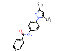 O=C(Nc1ccc(-n2nc(C(F)(F)F)cc2C(F)(F)F)cc1)c1ccccc1